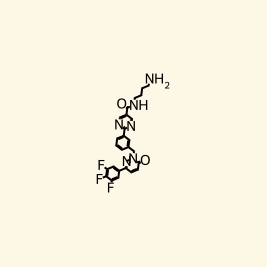 NCCCCNC(=O)c1cnc(-c2cccc(Cn3nc(-c4cc(F)c(F)c(F)c4)ccc3=O)c2)nc1